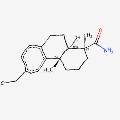 CCc1ccc2c(c1)[C@@]1(C)CCC[C@](C)(C(N)=O)[C@@H]1CC2